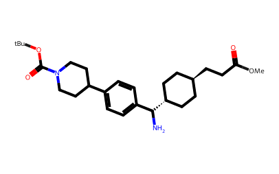 COC(=O)CC[C@H]1CC[C@H](C(N)c2ccc(C3CCN(C(=O)OC(C)(C)C)CC3)cc2)CC1